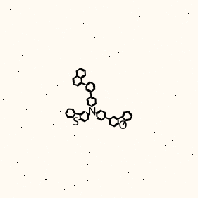 c1cc(-c2ccc(N(c3ccc(-c4ccc5oc6ccccc6c5c4)cc3)c3ccc4sc5ccccc5c4c3)cc2)cc(-c2cccc3ccccc23)c1